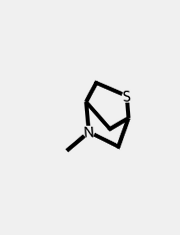 CN1CC2CC1CS2